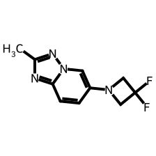 Cc1nc2ccc(N3CC(F)(F)C3)cn2n1